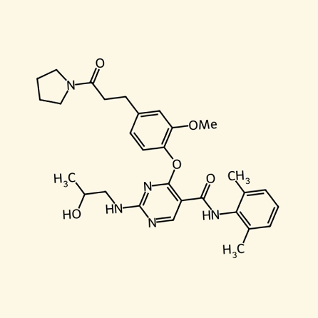 COc1cc(CCC(=O)N2CCCC2)ccc1Oc1nc(NCC(C)O)ncc1C(=O)Nc1c(C)cccc1C